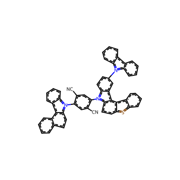 N#Cc1cc(-n2c3ccc(-n4c5ccccc5c5ccccc54)cc3c3c4c(ccc32)sc2ccccc24)c(C#N)cc1-n1c2ccccc2c2c3ccccc3ccc21